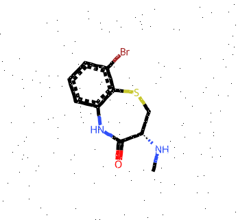 CN[C@H]1CSc2c(Br)cccc2NC1=O